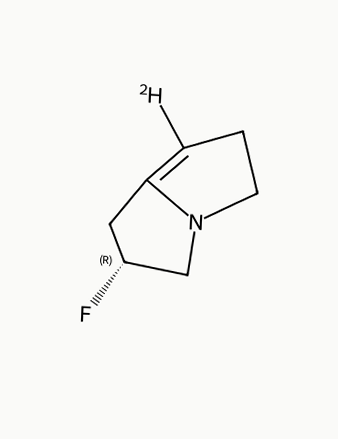 [2H]C1=C2C[C@@H](F)CN2CC1